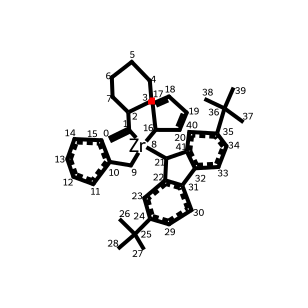 C=[C](C1CCCCC1)[Zr]([CH2]c1ccccc1)([CH]1C=CC=C1)[CH]1c2cc(C(C)(C)C)ccc2-c2ccc(C(C)(C)C)cc21